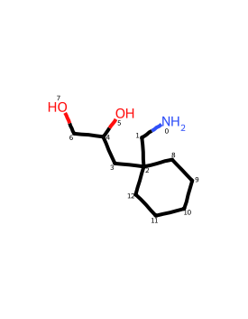 NCC1(CC(O)CO)CCCCC1